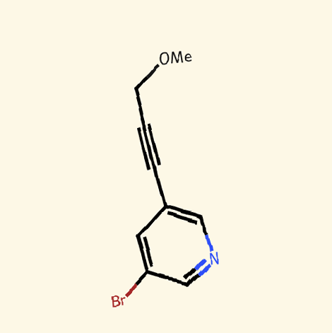 COCC#Cc1cncc(Br)c1